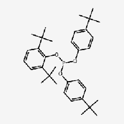 CC(C)(C)c1ccc(OP(Oc2ccc(C(C)(C)C)cc2)Oc2c(C(C)(C)C)cccc2C(C)(C)C)cc1